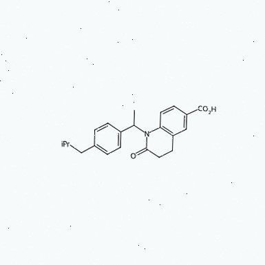 CC(C)Cc1ccc(C(C)N2C(=O)CCc3cc(C(=O)O)ccc32)cc1